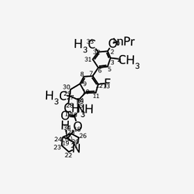 CCCOc1c(C)cc(-c2cc3c(cc2F)[C@H](NC(=O)O[C@@H]2CN4CCC2CC4)C(C)(C)C3)cc1C